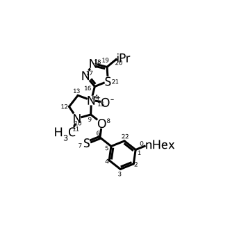 CCCCCCc1cccc(C(=S)OC2N(C)CC[N+]2([O-])c2nnc(C(C)C)s2)c1